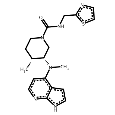 C[C@@H]1CCN(C(=O)NCc2nccs2)C[C@@H]1N(C)c1ccnc2[nH]ccc12